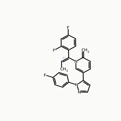 C=C1C=CC(c2ccnn2-c2ccc(F)cc2)=CN1/C(=C\C)c1ccc(F)cc1F